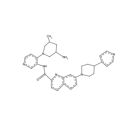 CC1CC(N)CN(c2ccncc2NC(=O)c2ccc3ccc(N4CCC(c5ccncc5)CC4)cc3n2)C1